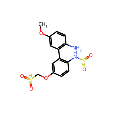 COc1ccc(N)c(-c2cc(OC[SH](=O)=O)ccc2N[SH](=O)=O)c1